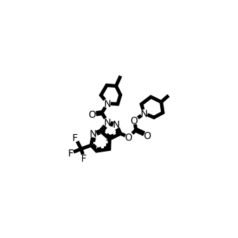 CC1CCN(OC(=O)Oc2nn(C(=O)N3CCC(C)CC3)c3nc(C(F)(F)F)ccc23)CC1